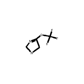 FC(F)(F)OC1=NC[N]C1